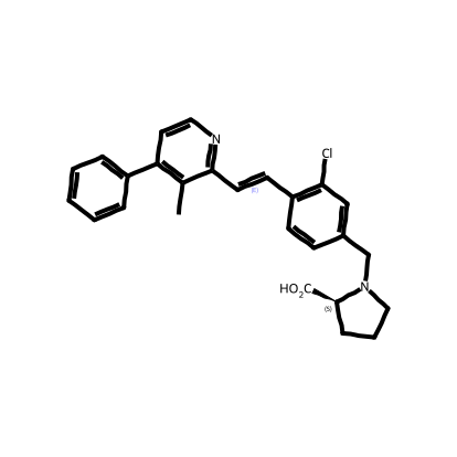 Cc1c(-c2ccccc2)ccnc1/C=C/c1ccc(CN2CCC[C@H]2C(=O)O)cc1Cl